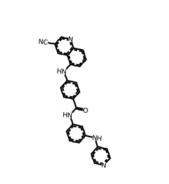 N#Cc1cnc2cccc(Nc3ccc(C(=O)Nc4cccc(Nc5ccncc5)c4)cc3)c2c1